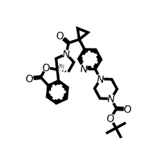 CC(C)(C)OC(=O)N1CCN(c2ccc(C3(C(=O)N4CC[C@@]5(C4)OC(=O)c4ccccc45)CC3)cn2)CC1